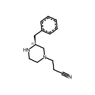 N#CCCN1CCN[C@@H](Cc2ccccc2)C1